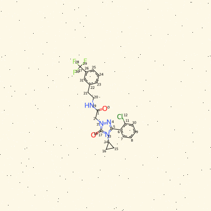 O=C(Cn1nc(-c2ccccc2Cl)n(C2CC2)c1=O)NCCc1cccc(C(F)(F)F)c1